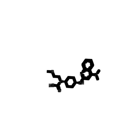 COCCN(C(=O)O)[C@H]1CC[C@@H](Nc2cc(N(C)C)c3ccccc3n2)CC1